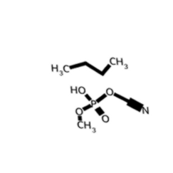 CCCC.COP(=O)(O)OC#N